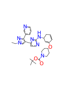 CCn1cc(-c2ccnc(NC3C=C(OC4CCN(C(=O)OC(C)(C)C)CC4)C=CC3)n2)c(-c2cccnc2)n1